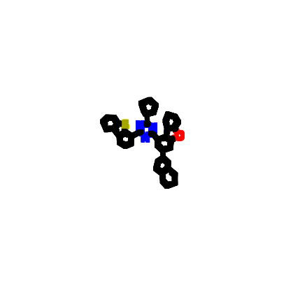 c1ccc(-c2nc(-c3cccc4c3sc3ccccc34)nc(-c3cc(-c4ccc5ccccc5c4)cc4oc5ccccc5c34)n2)cc1